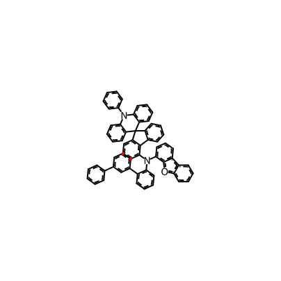 c1ccc(-c2cccc(-c3ccccc3N(c3cccc4c3-c3ccccc3C43c4ccccc4N(c4ccccc4)c4ccccc43)c3cccc4c3oc3ccccc34)c2)cc1